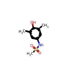 Cc1cc(NS(C)(=O)=O)cc(C)c1O